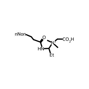 CCCCCCCCCCCC(=O)NC(CC)[N+](C)(C)CC(=O)O